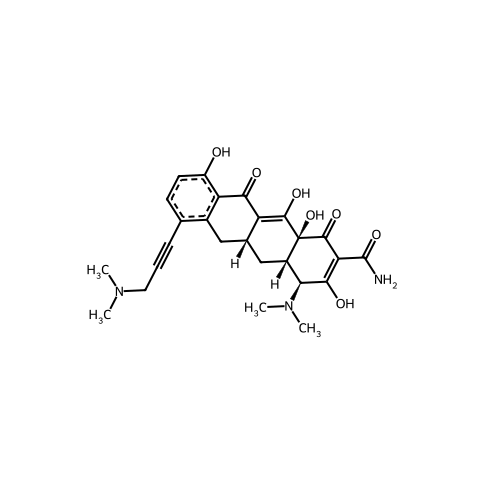 CN(C)CC#Cc1ccc(O)c2c1C[C@H]1C[C@H]3[C@H](N(C)C)C(O)=C(C(N)=O)C(=O)[C@@]3(O)C(O)=C1C2=O